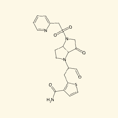 NC(=O)c1ccsc1C[C](C=O)N1CCC2C1C(=O)CN2S(=O)(=O)Cc1ccccn1